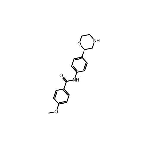 COc1ccc(C(=O)Nc2ccc([C@@H]3CNCCO3)cc2)cc1